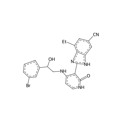 CCc1cc(C#N)cc2[nH]c(-c3c(NCC(O)c4cccc(Br)c4)cc[nH]c3=O)nc12